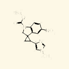 Cn1cnc(C2CC23CN(C(=O)OC(C)(C)C)c2ccc([N+](=O)[O-])cc23)c1